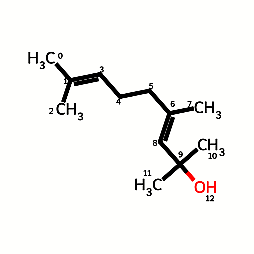 CC(C)=CCCC(C)=CC(C)(C)O